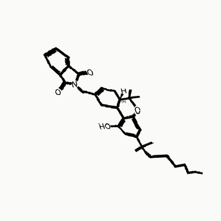 CCCCCCC(C)(C)c1cc(O)c2c(c1)OC(C)(C)[C@H]1CC=C(CN3C(=O)c4ccccc4C3=O)CC21